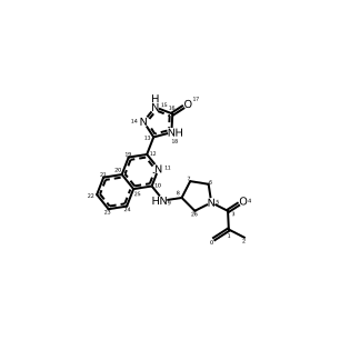 C=C(C)C(=O)N1CCC(Nc2nc(-c3n[nH]c(=O)[nH]3)cc3ccccc23)C1